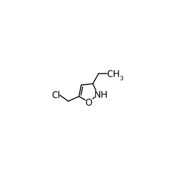 CCC1C=C(CCl)ON1